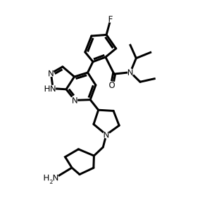 CCN(C(=O)c1cc(F)ccc1-c1cc(C2CCN(CC3CCC(N)CC3)C2)nc2[nH]ncc12)C(C)C